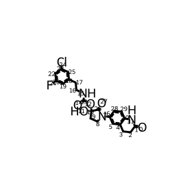 O=C1CCc2cc(N3CC[C@](O)(OC(=O)NCCc4cc(F)cc(Cl)c4)C3=O)ccc2N1